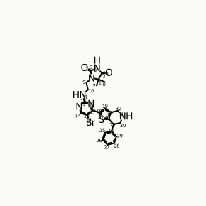 CC1(C)C(=O)NC(=O)N1CCNc1ncc(Br)c(-c2cc3c(s2)C(c2ccccc2)CNC3)n1